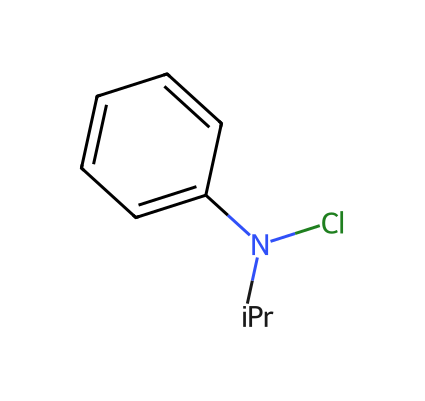 CC(C)N(Cl)c1ccccc1